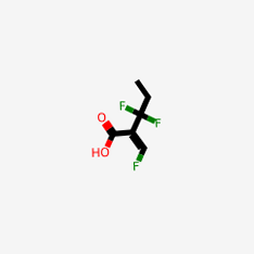 CCC(F)(F)C(=CF)C(=O)O